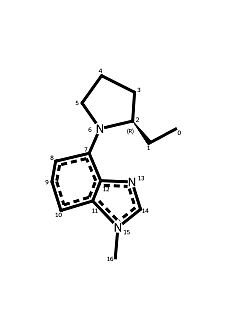 CC[C@@H]1CCCN1c1cccc2c1ncn2C